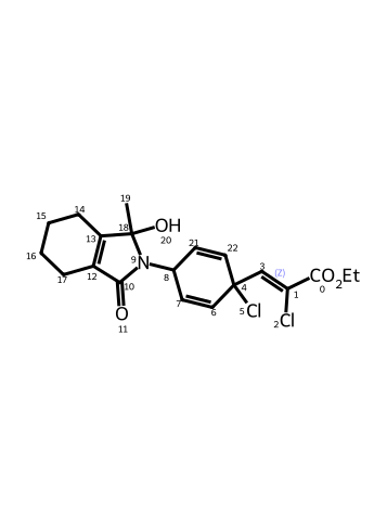 CCOC(=O)/C(Cl)=C/C1(Cl)C=CC(N2C(=O)C3=C(CCCC3)C2(C)O)C=C1